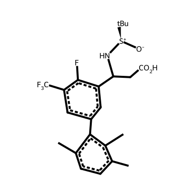 Cc1ccc(C)c(-c2cc(C(CC(=O)O)N[S@+]([O-])C(C)(C)C)c(F)c(C(F)(F)F)c2)c1C